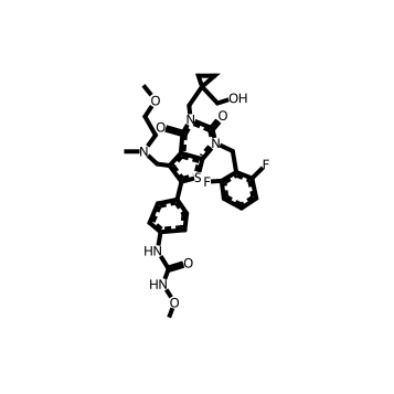 COCCN(C)Cc1c(-c2ccc(NC(=O)NOC)cc2)sc2c1c(=O)n(CC1(CO)CC1)c(=O)n2Cc1c(F)cccc1F